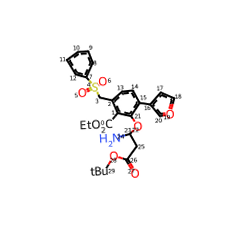 CCOC(=O)c1c(CS(=O)(=O)c2ccccc2)ccc(-c2ccoc2)c1OC(N)CC(=O)OC(C)(C)C